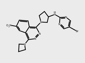 O=[N+]([O-])c1ccc2c(N3CCC(Nc4ncc(Br)cn4)C3)nnc(N3CCC3)c2c1